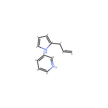 C=CCc1ccc[nH]1.c1ccncc1